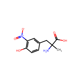 CC(N)(Cc1ccc(O)c([N+](=O)[O-])c1)C(=O)O